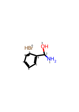 Br.NC(O)c1ccccc1